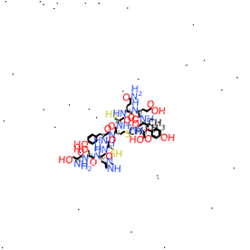 CSCC[C@H](NC(=O)[C@H](Cc1ccc(O)cc1)NC(=O)[C@H](CS)NC(=O)[C@H](Cc1c[nH]cn1)NC(=O)[C@H](CO)NC(=O)[C@@H](N)CO)C(=O)N[C@@H](CS)C(=O)N[C@@H](CCC(N)=O)C(=O)N[C@@H](CCC(=O)O)C(=O)N[C@H](C(=O)N[C@@H](Cc1ccc(O)cc1)C(=O)O)C(C)C